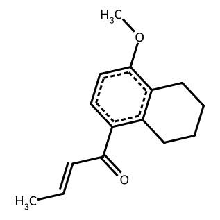 CC=CC(=O)c1ccc(OC)c2c1CCCC2